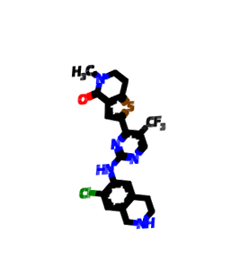 CN1CCc2sc(-c3nc(Nc4cc5c(cc4Cl)CNCC5)ncc3C(F)(F)F)cc2C1=O